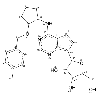 Cc1ccc(COC2CCCC2Nc2ncnc3c2ncn3C2OC(CO)C(O)C2O)cc1